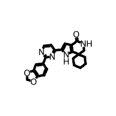 O=C1NCC2(CCCCC2)c2[nH]c(-c3ccnc(-c4ccc5c(c4)OCO5)n3)cc21